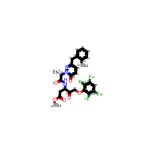 CC[C@@H](C(=O)NC(CC(=O)OC(C)(C)C)C(=O)COc1c(F)c(F)cc(F)c1F)n1nc(Cc2ccccc2C(C)(C)C)ccc1=O